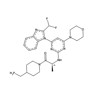 C[C@H](Nc1nc(N2CCOCC2)cc(-n2c(C(F)F)nc3ccccc32)n1)C(=O)N1CCC(CP)CC1